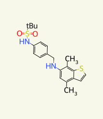 Cc1cc(NCc2ccc(NS(=O)(=O)C(C)(C)C)cc2)c(C)c2sccc12